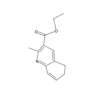 CCOC(=O)c1cc2c(nc1C)C=CCC2